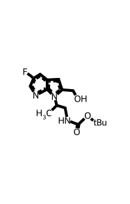 CC(CNC(=O)OC(C)(C)C)n1c(CO)cc2cc(F)cnc21